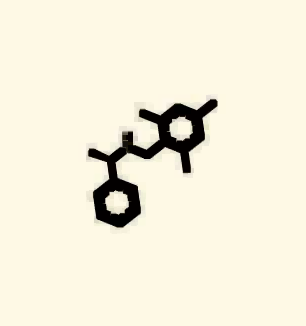 Cc1cc(C)c(CN[C@H](C)c2ccccc2)c(C)c1